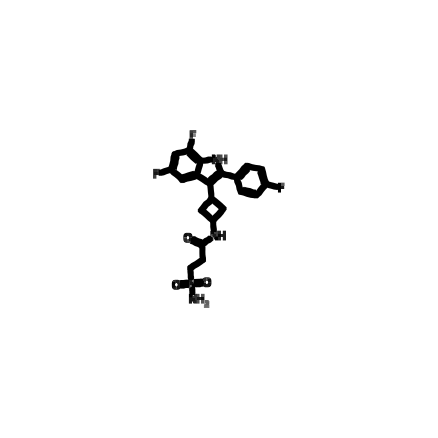 NS(=O)(=O)CCC(=O)NC1CC(c2c(-c3ccc(F)cc3)[nH]c3c(F)cc(F)cc23)C1